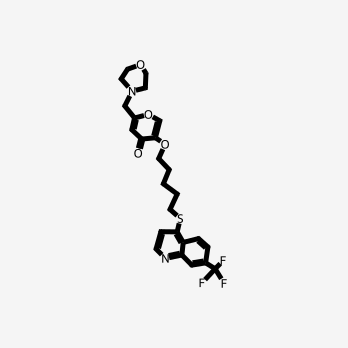 O=c1cc(CN2CCOCC2)occ1OCCCCCSc1ccnc2cc(C(F)(F)F)ccc12